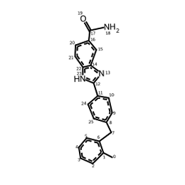 Cc1ccccc1Cc1ccc(-c2nc3cc(C(N)=O)ccc3[nH]2)cc1